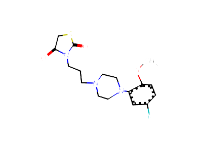 COc1ccc(F)cc1N1CCN(CCCN2C(=O)CSC2=O)CC1